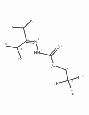 CC(C)C(=NNC(=O)OCC(F)(F)F)C(C)C